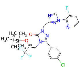 CC(C)(C)[Si](C)(C)O[C@@H](Cn1c(-c2ccc(Cl)cc2)nn(Cc2ncn(-c3ncccc3F)n2)c1=O)C(F)(F)F